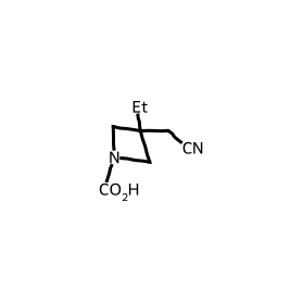 CCC1(CC#N)CN(C(=O)O)C1